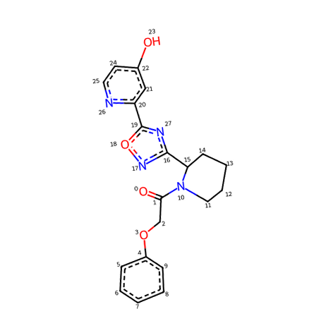 O=C(COc1ccccc1)N1CCCCC1c1noc(-c2cc(O)ccn2)n1